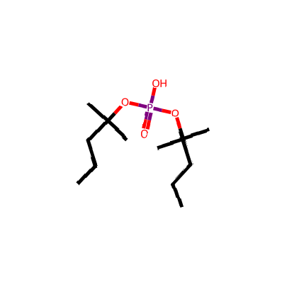 CCCC(C)(C)OP(=O)(O)OC(C)(C)CCC